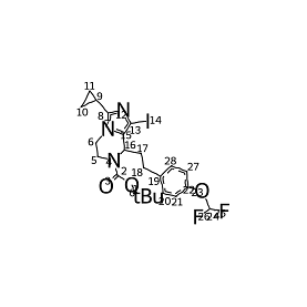 CC(C)(C)OC(=O)N1CCn2c(C3CC3)nc(I)c2C1CCc1ccc(OC(F)F)cc1